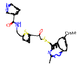 COc1ccc2nc(C)nc(SCC(=O)c3ccc(CNC(=O)c4cccnc4)s3)c2c1